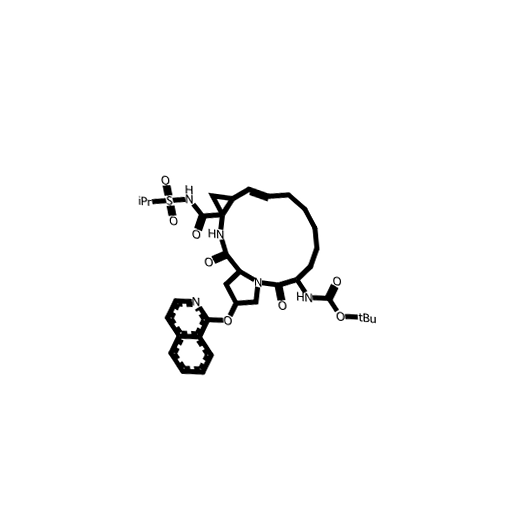 CC(C)S(=O)(=O)NC(=O)C12CC1/C=C/CCCCCC(NC(=O)OC(C)(C)C)C(=O)N1CC(Oc3nccc4ccccc34)CC1C(=O)N2